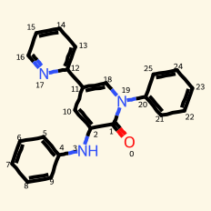 O=c1c(Nc2ccccc2)cc(-c2ccccn2)cn1-c1ccccc1